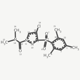 Cc1cc(C)c(S(=O)(=O)c2nn(C(=O)N(C)C)cc2Cl)c(C)c1